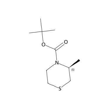 C[C@H]1CSCCN1C(=O)OC(C)(C)C